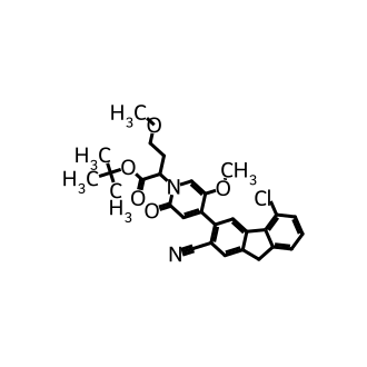 COCCC(C(=O)OC(C)(C)C)n1cc(OC)c(-c2cc3c(cc2C#N)Cc2cccc(Cl)c2-3)cc1=O